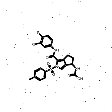 Cc1ccc(S(=O)(=O)n2cc3c(c2C(=O)Nc2ccc(F)c(Cl)c2)CCC3NC(=O)O)cc1